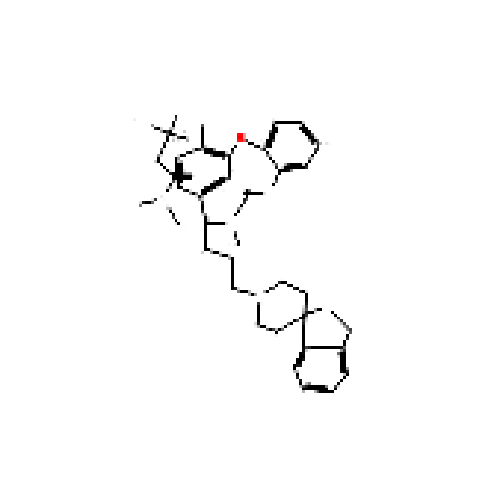 CN(C[C@](CCCN1CCC2(CC1)SCc1ccccc12)(c1ccc(Cl)c(Cl)c1)N(C)C(=O)Oc1ccccc1F)C(=O)CC(F)(F)F